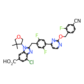 CC1(C)COC[C@H]1n1c(Cc2cc(F)c(-c3ccnc(OCc4ccc(C#N)cc4F)n3)cc2F)nc2c(Cl)cc(C(=O)O)cc21